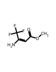 COC(=O)/C=C(/N)C(F)(F)F